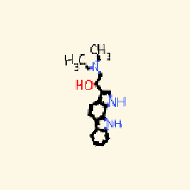 CCN(CC)CC(O)c1c[nH]c2c1ccc1c3ccccc3[nH]c12